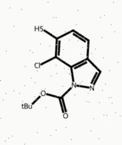 CC(C)(C)OC(=O)n1ncc2ccc(S)c(Cl)c21